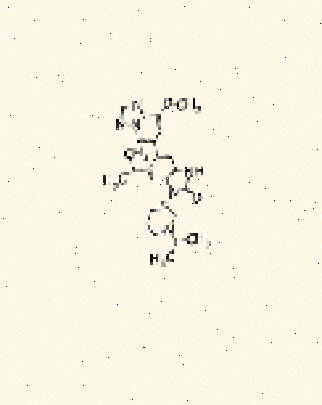 COc1cc(-c2cc3[nH]c(=O)n([C@H]4CCCN(C(C)C)C4)c3cc2C(C)C)cn2ncnc12